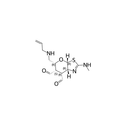 C=CCNC[C@@H]1O[C@@H]2SC(NC)=N[C@@H]2[C@H](C=O)[C@@H]1C=O